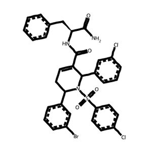 NC(=O)[C@H](Cc1ccccc1)NC(=O)C1=CCC(c2cccc(Br)c2)N(S(=O)(=O)c2ccc(Cl)cc2)C1c1cccc(Cl)c1